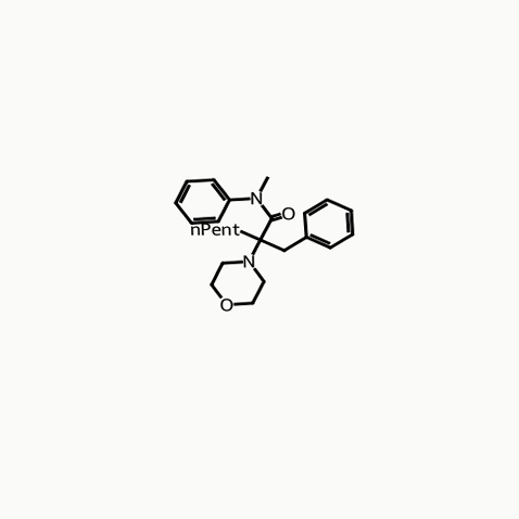 CCCCCC(Cc1ccccc1)(C(=O)N(C)c1ccccc1)N1CCOCC1